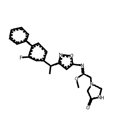 COC(CN1CNC(=O)C1)=Nc1cc(C(C)c2ccc(-c3ccccc3)c(F)c2)no1